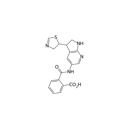 O=C(O)c1ccccc1C(=O)Nc1cnc2c(c1)C(C1CN=CS1)CN2